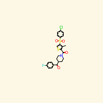 Cc1c(S(=O)(=O)c2ccc(Cl)cc2)csc1C(=O)N1CCC(C(=O)c2ccc(F)cc2)CC1